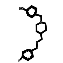 Oc1ccc(CN2CCC(COCc3ccc(F)cc3)CC2)cc1